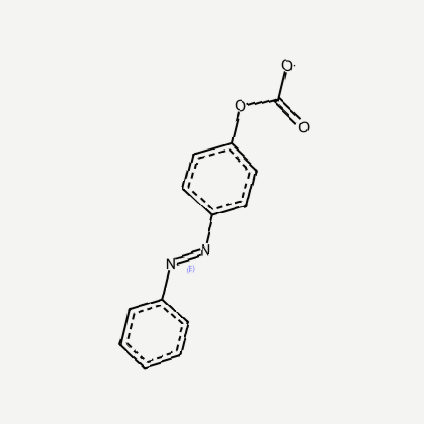 [O]C(=O)Oc1ccc(/N=N/c2ccccc2)cc1